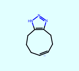 C1=C\CCc2nn[nH]c2CCC/1